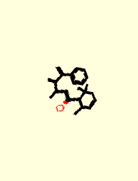 C=C(c1ccccc1)C(C)C(C)CC(=O)C1C(C)C=CCC1(C)C